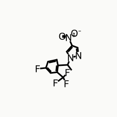 CC(c1ccc(F)cc1C(F)(F)F)n1cc([N+](=O)[O-])cn1